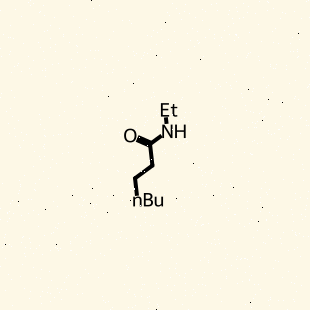 [CH2]CCCCCC(=O)NCC